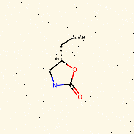 CSC[C@H]1CNC(=O)O1